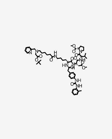 COC(=O)C[C@H](NC(=O)[C@H](CCCCNC(=O)CCCCCN(CC(=O)OC(C)(C)C)Cc1ccccn1)NC(=O)Cc1ccc(NC(=O)Nc2ccccc2C)cc1)C(=O)N[C@H](C(=O)N1CCC[C@H]1C(=O)OC)C(C)C